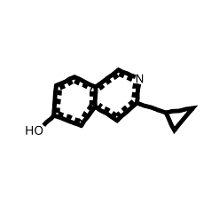 Oc1ccc2cnc(C3CC3)cc2c1